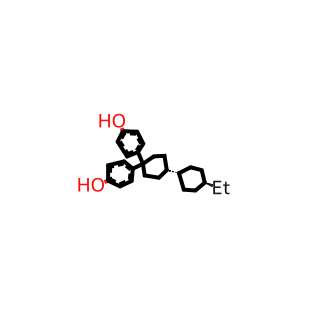 CC[C@H]1CC[C@H](C2CCC(c3ccc(O)cc3)(c3ccc(O)cc3)CC2)CC1